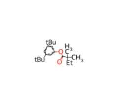 CCC(C)(C)C(=O)Oc1cc(C(C)(C)C)cc(C(C)(C)C)c1